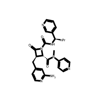 CCC[C@@H](NC(=O)N1C(=O)[C@H](Cc2ccnc(N)c2)[C@H]1C(=O)N(C)c1ccncc1)c1cccnc1